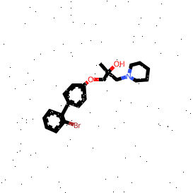 CC(O)(COc1ccc(-c2ccccc2Br)cc1)CN1CCCCC1